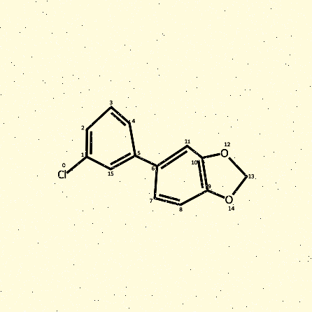 Clc1cc[c]c(-c2ccc3c(c2)OCO3)c1